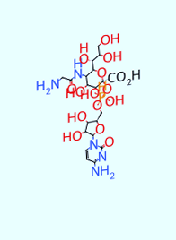 NCC(=O)N[C@H]1C([C@H](O)[C@H](O)CO)O[C@](O[PH](O)(O)OC[C@H]2O[C@@H](n3ccc(N)nc3=O)[C@@H](O)C2O)(C(=O)O)C[C@H]1O